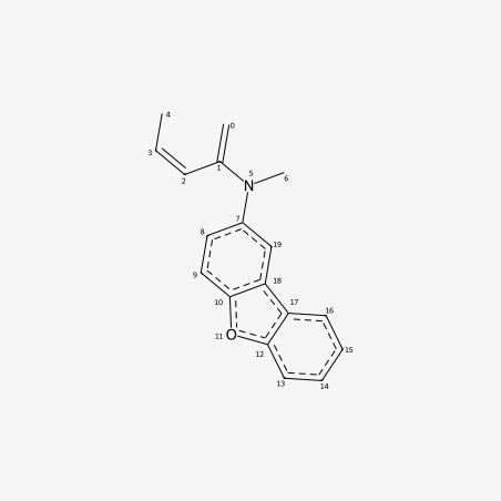 C=C(/C=C\C)N(C)c1ccc2oc3ccccc3c2c1